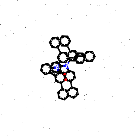 c1ccc(-c2cc(-c3ccccc3)cc(-n3c4ccccc4c4cc(-c5cccc6cccc(-c7ccc8c(c7)c7ccccc7n8-c7cc(-c8ccccc8)cc(-c8ccccc8)c7)c56)ccc43)c2)cc1